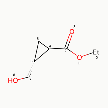 CCOC(=O)C1C[C@H]1CO